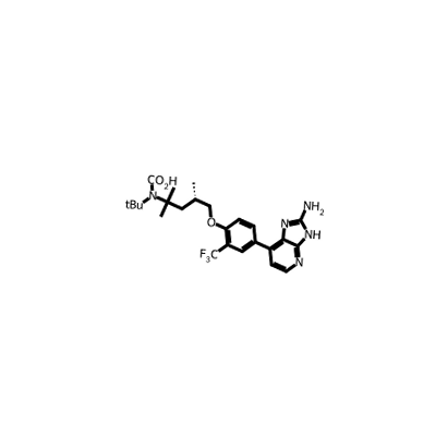 C[C@H](COc1ccc(-c2ccnc3[nH]c(N)nc23)cc1C(F)(F)F)CC(C)(C)N(C(=O)O)C(C)(C)C